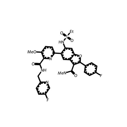 CCS(=O)(=O)Nc1cc2oc(-c3ccc(F)cc3)c(C(=O)NC)c2cc1-c1ccc(OC)c(C(=O)NCc2ccc(F)cn2)n1